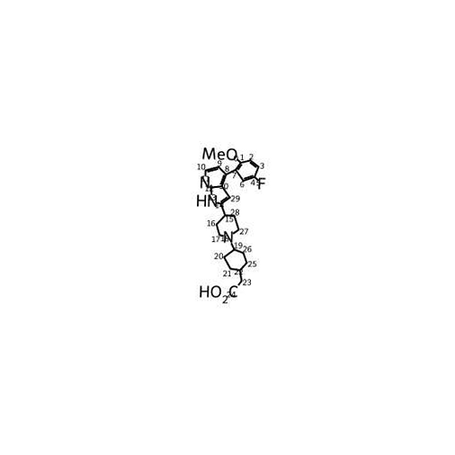 COc1ccc(F)cc1-c1ccnc2[nH]c(C3CCN(C4CCC(CC(=O)O)CC4)CC3)cc12